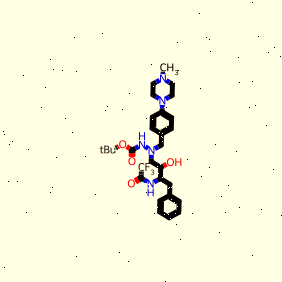 CN1CCN(c2ccc(CN(CC(O)C(Cc3ccccc3)NC(=O)C(F)(F)F)NC(=O)OC(C)(C)C)cc2)CC1